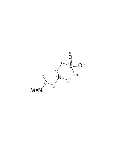 CNC(C)CN1CCS(=O)(=O)CC1